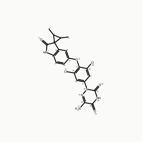 CC1C(C)C12C(=O)Nc1ccc(Oc3c(Cl)cc(-n4nc(N)c(=O)[nH]c4=O)cc3Cl)cc12